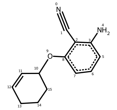 N#Cc1c(N)cccc1OC1C=CCCC1